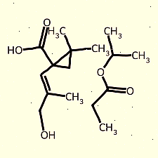 C/C(=C\C1(C(=O)O)CC1(C)C)CO.CCC(=O)OC(C)C